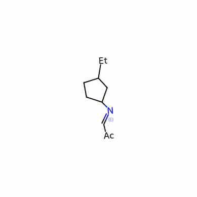 CCC1CCC(/N=C/C(C)=O)C1